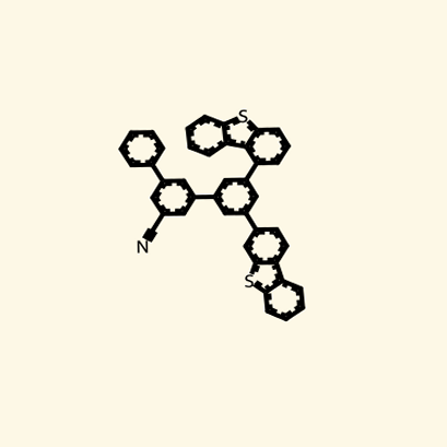 N#Cc1cc(-c2ccccc2)cc(-c2cc(-c3ccc4c(c3)sc3ccccc34)cc(-c3cccc4sc5ccccc5c34)c2)c1